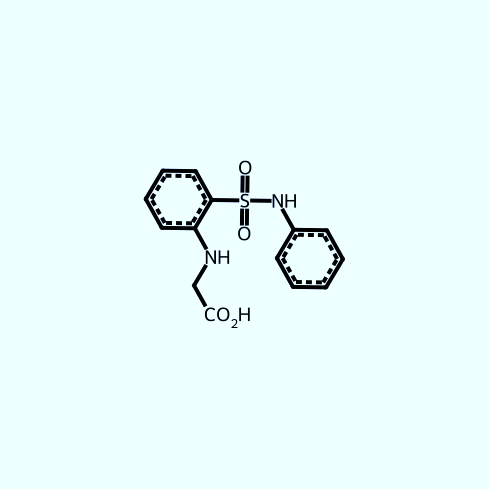 O=C(O)CNc1ccccc1S(=O)(=O)Nc1ccccc1